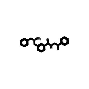 CN(Cc1ccccc1)Cc1cccc(C(=O)NCC(=O)c2ccccc2)c1